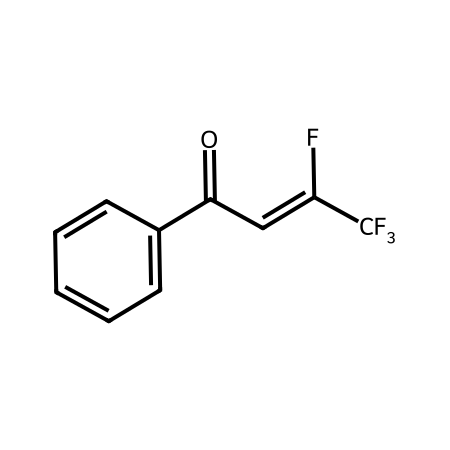 O=C(C=C(F)C(F)(F)F)c1ccccc1